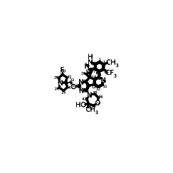 Cc1cc2[nH]ncc2c(-c2nccc3c2C2(CC2)c2nc(OC[C@@]45CCCN4C[C@H](F)C5)nc(N4CCOC[C@@](C)(O)C4)c2-3)c1C(F)(F)F